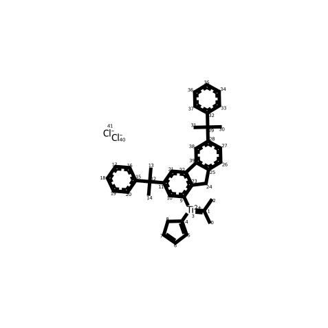 C[C](C)=[Ti+2]([C]1=CC=CC1)[c]1cc(C(C)(C)c2ccccc2)cc2c1Cc1ccc(C(C)(C)c3ccccc3)cc1-2.[Cl-].[Cl-]